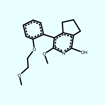 COCCOc1ccccc1-c1c(OC)nc(O)c2c1CCC2